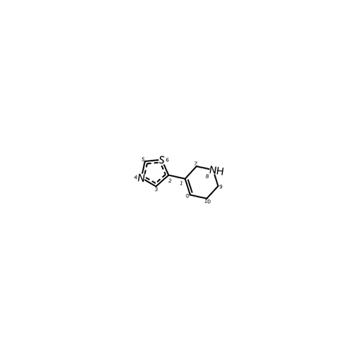 C1=C(c2cncs2)CNCC1